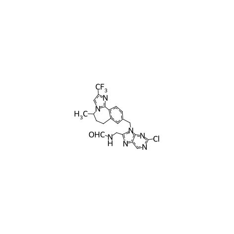 CC1CCc2cc(Cn3c(CNC=O)nc4cnc(Cl)nc43)ccc2-c2nc(C(F)(F)F)cn21